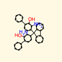 Nc1c(C2(c3ccc(-c4ccccc4)c(O)c3N)c3ccccc3-c3ccccc32)ccc(-c2ccccc2)c1O